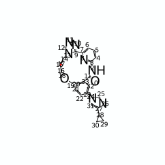 O=C1Nc2cccc(n2)-c2nncn2C2CC(C2)OCc2ccc(-n3cnc(C4CC4)c3)cc21